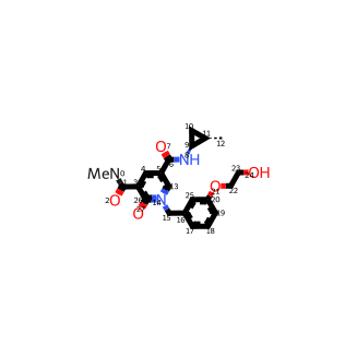 CNC(=O)c1cc(C(=O)N[C@H]2C[C@@H]2C)cn(Cc2cccc(OCCO)c2)c1=O